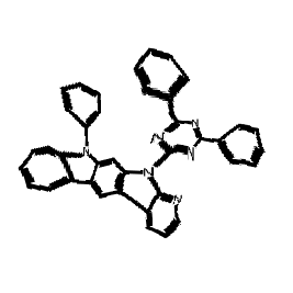 c1ccc(-c2nc(-c3ccccc3)nc(-n3c4cc5c(cc4c4cccnc43)c3ccccc3n5-c3ccccc3)n2)cc1